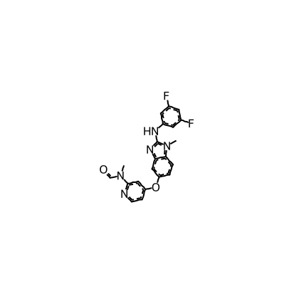 CN(C=O)c1cc(Oc2ccc3c(c2)nc(Nc2cc(F)cc(F)c2)n3C)ccn1